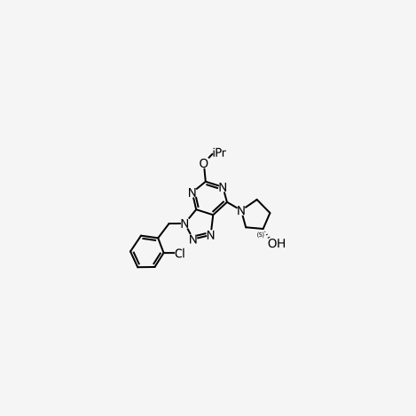 CC(C)Oc1nc(N2CC[C@H](O)C2)c2nnn(Cc3ccccc3Cl)c2n1